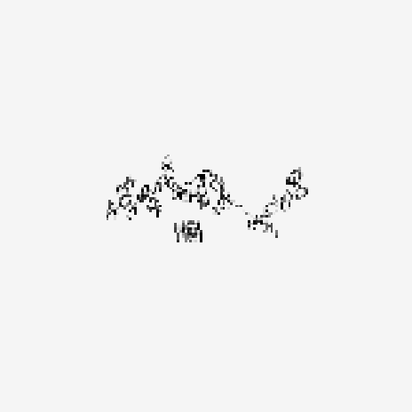 CN(CCN1CCC(OC(=O)Nc2ccccc2-c2ccccc2)CC1)C(=O)CCCCCN(C)c1cccc(C(=O)N(C)CCCN(C)C(=O)CO[C@H]2Cc3ccccc3C23CCN(CC[C@]2(c4ccc(F)cc4)CN(C(=O)c4cc(C(F)(F)F)cc(C(F)(F)F)c4)CO2)CC3)c1.Cl.Cl.Cl